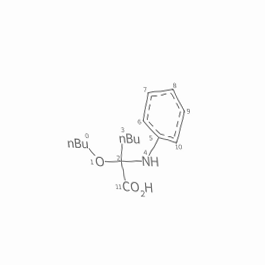 CCCCOC(CCCC)(Nc1ccccc1)C(=O)O